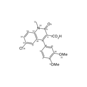 COc1ccc(-c2c(C(=O)O)c(=O)n(C)c3ccc(Cl)cc23)cc1OC